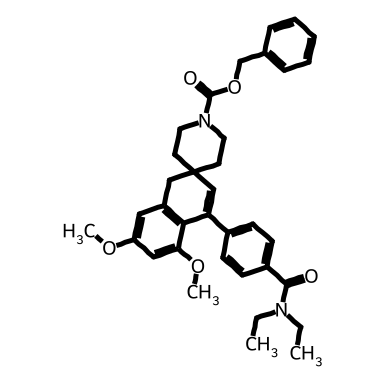 CCN(CC)C(=O)c1ccc(C2=CC3(CCN(C(=O)OCc4ccccc4)CC3)Cc3cc(OC)cc(OC)c32)cc1